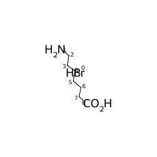 Br.NCCCCCCC(=O)O